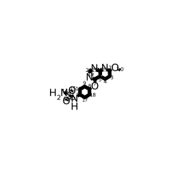 COc1ccc2c(Oc3ccc(NS(N)(=O)=O)cc3)ncnc2n1